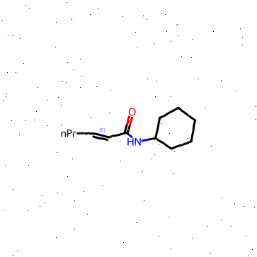 CCC/C=C/C(=O)NC1CCCCC1